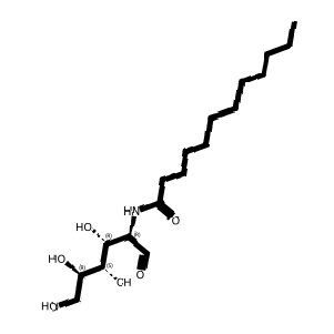 CCCCCCCCCCCC(=O)N[C@@H](C=O)[C@@H](O)[C@H](O)[C@H](O)CO